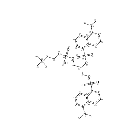 CN(C)c1cccc2c(S(=O)(=O)OC[C@H](COP(=O)(O)OCC[N+](C)(C)C)OS(=O)(=O)c3cccc4c(N(C)C)cccc34)cccc12